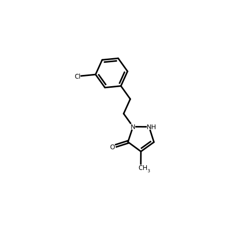 Cc1c[nH]n(CCc2cccc(Cl)c2)c1=O